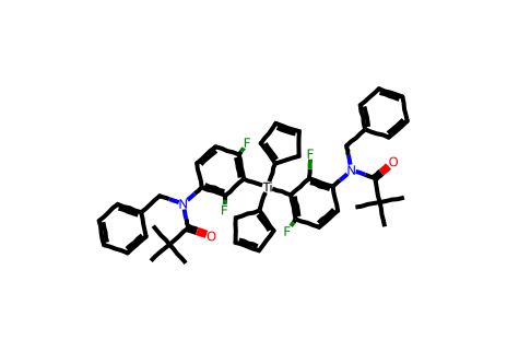 CC(C)(C)C(=O)N(Cc1ccccc1)c1ccc(F)[c]([Ti]([C]2=CC=CC2)([C]2=CC=CC2)[c]2c(F)ccc(N(Cc3ccccc3)C(=O)C(C)(C)C)c2F)c1F